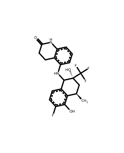 C[C@@H]1C[C@](O)(C(F)(F)F)C(Nc2cccc3c2CCC(=O)N3)c2ccc(F)c(O)c21